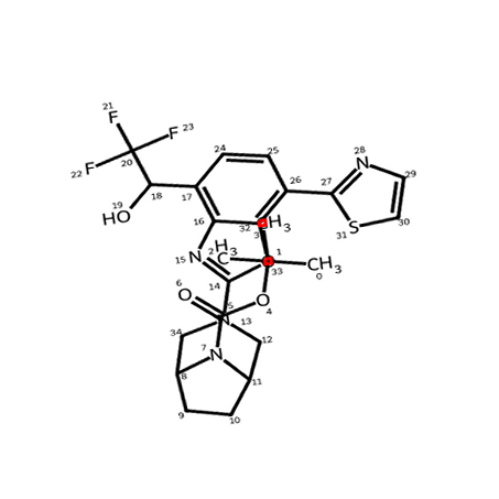 CC(C)(C)OC(=O)N1C2CCC1CN(c1nc3c(C(O)C(F)(F)F)ccc(-c4nccs4)c3o1)C2